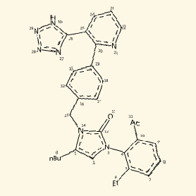 CCCCc1cn(-c2c(CC)cccc2C(C)=O)c(=O)n1Cc1ccc(-c2ncccc2-c2nnn[nH]2)cc1